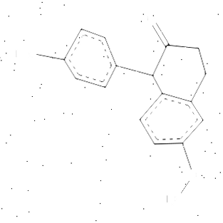 COc1ccc2c(c1)CCC(=O)C2c1ccc(C)cc1